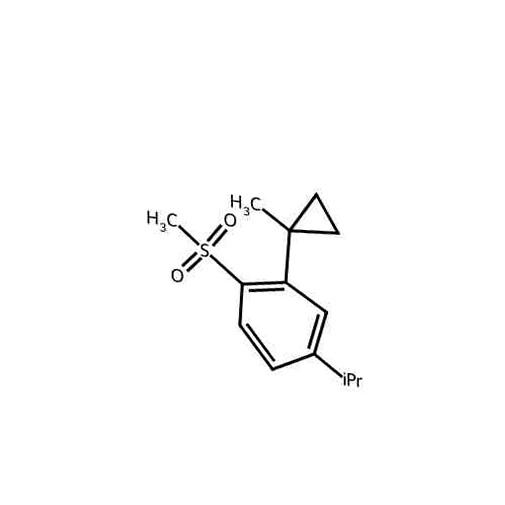 CC(C)c1ccc(S(C)(=O)=O)c(C2(C)CC2)c1